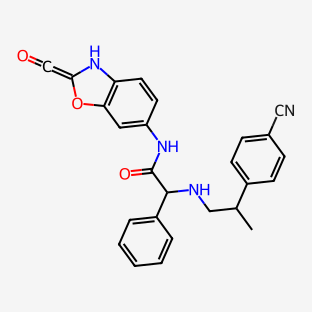 CC(CNC(C(=O)Nc1ccc2c(c1)OC(=C=O)N2)c1ccccc1)c1ccc(C#N)cc1